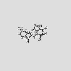 O=c1[nH]c(=S)n(Cc2nc3cc(Cl)ccc3[nH]2)c2cc[nH]c12